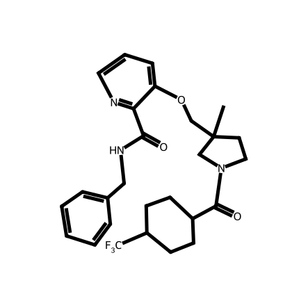 CC1(COc2cccnc2C(=O)NCc2ccccc2)CCN(C(=O)C2CCC(C(F)(F)F)CC2)C1